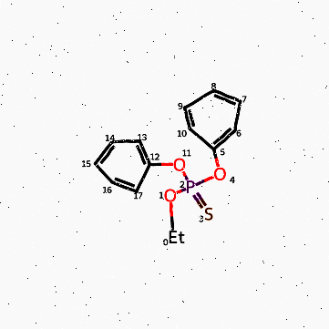 CCOP(=S)(Oc1ccccc1)Oc1ccccc1